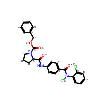 O=C(Nc1ccc(C(=O)N(Cl)c2ccccc2Cl)cc1)C1CCCN1C(=O)OCc1ccccc1